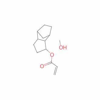 C=CC(=O)OC1CCC2C3CCC(C3)C12.CO